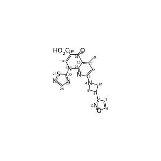 Cc1cc(N2CC(c3ccon3)C2)nc2c1c(=O)c(C(=O)O)cn2-c1ncns1